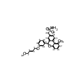 COCC=CCOc1cccc(C2Oc3cccc(OC)c3-c3ccc(CS(N)(=O)=O)cc32)c1